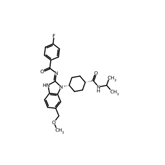 COCc1ccc2[nH]/c(=N\C(=O)c3ccc(F)cc3)n([C@H]3CC[C@@H](C(=O)NC(C)C)CC3)c2c1